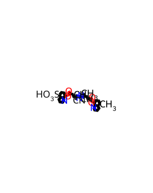 Cc1ccc(OC(=O)CCC(C)(C#N)N=NC(C)(C#N)CCC(=O)Oc2ccc(S(=O)(=O)O)c3cccnc23)c2ncccc12